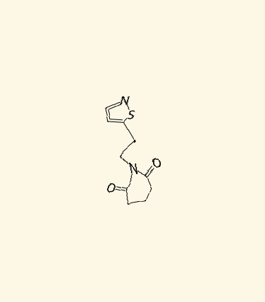 O=C1CCCC(=O)N1CCC1=C=C=NS1